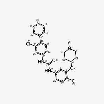 CN1CCC(Oc2cc(NC(=O)Nc3ccc(-c4ccncc4)c(Cl)c3)ccc2Cl)CC1